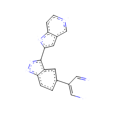 N=C/C(=C\N)c1ccc2[nH]nc(-c3cc4cnccc4[nH]3)c2c1